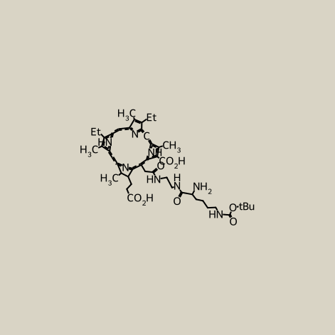 CCC1=C(C)c2cc3[nH]c(cc4nc(c(CC(=O)NCCNC(=O)C(N)CCCCNC(=O)OC(C)(C)C)c5[nH]c(cc1n2)c(C)c5C(=O)O)C(CCC(=O)O)C4C)c(C)c3CC